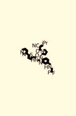 CC(C)C=C(C#N)C(=O)N1CCC[C@@H]1Cn1c(NC(=O)c2ccc(-c3cccnn3)s2)nc2cc(CNCC(F)F)ccc21